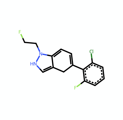 FCCN1NC=C2CC(c3c(F)cccc3Cl)=CC=C21